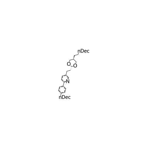 CCCCCCCCCCCC[C@H]1CO[C@H](CCc2ccc(-c3ccc(CCCCCCCCCC)cc3)nc2)OC1